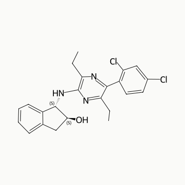 CCc1nc(-c2ccc(Cl)cc2Cl)c(CC)nc1N[C@H]1c2ccccc2C[C@@H]1O